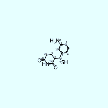 Nc1cccc(C(S)C2CCC(=O)NC2=O)c1